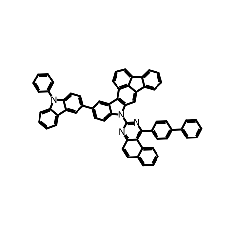 c1ccc(-c2ccc(-c3nc(-n4c5ccc(-c6ccc7c(c6)c6ccccc6n7-c6ccccc6)cc5c5c6cccc7c6c(cc54)-c4ccccc4-7)nc4ccc5ccccc5c34)cc2)cc1